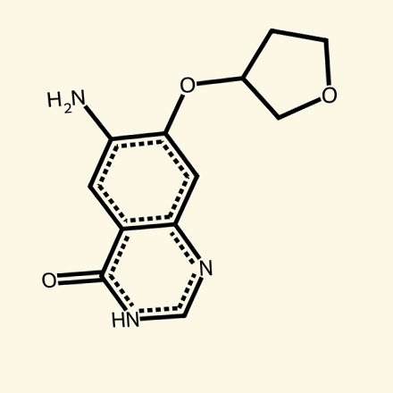 Nc1cc2c(=O)[nH]cnc2cc1OC1CCOC1